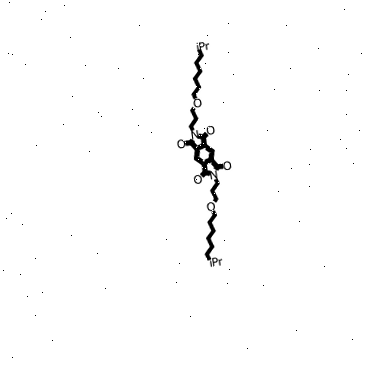 CC(C)CCCCCCOCCCn1c(=O)c2cc3c(=O)n(CCCOCCCCCCC(C)C)c(=O)c3cc2c1=O